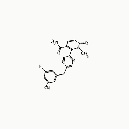 Cn1c(-c2ccc(Cc3cc(F)cc(C#N)c3)cn2)c(C(N)=O)ccc1=O